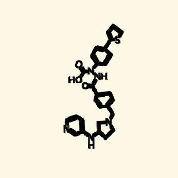 O=C(NN(C(=O)O)c1ccc(-c2cccs2)cc1)c1ccc(CN2CCC(Nc3cccnc3)C2)cc1